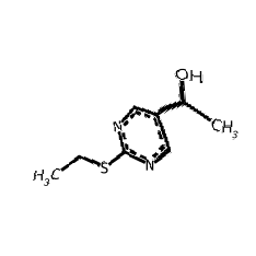 CCSc1ncc(C(C)O)cn1